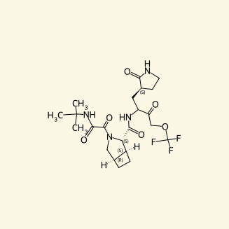 CC(C)(C)NC(=O)C(=O)N1C[C@@H]2CC[C@@H]2[C@H]1C(=O)NC(C[C@@H]1CCNC1=O)C(=O)COC(F)(F)F